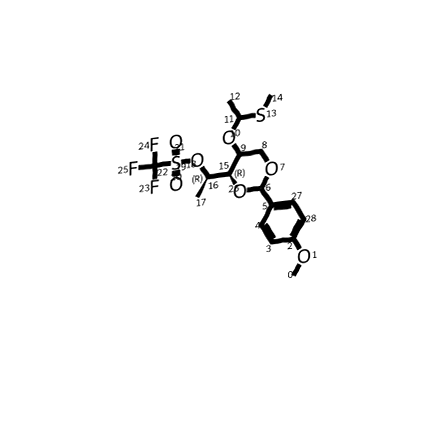 COc1ccc(C2OCC(OC(C)SC)[C@H]([C@@H](C)OS(=O)(=O)C(F)(F)F)O2)cc1